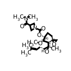 CO[C@@H]1[C@H](OC(=O)N2CC(C(=O)N(C)C)C2)CC[C@]2(CO2)[C@H]1[C@@]1(C)O[C@@H]1CC=C(C)C